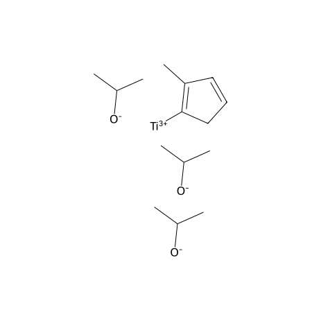 CC(C)[O-].CC(C)[O-].CC(C)[O-].CC1=[C]([Ti+3])CC=C1